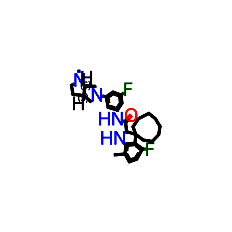 Cc1ccc(F)c2c1NC(C(=O)Nc1cc(F)cc(N3C[C@@H]4CCN(C)[C@@H]4C3)c1)C21CCCCCCCC1